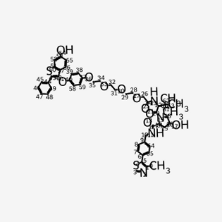 Cc1ncsc1-c1ccc(CNC(=O)[C@@H]2C[C@@H](O)CN2C(=O)C(NC(=O)COCCOCCOCCOc2ccc(Oc3c(-c4ccccc4)sc4cc(O)ccc34)cc2)C(C)(C)C)cc1